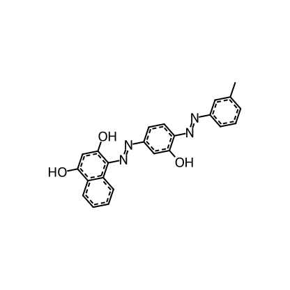 Cc1cccc(/N=N/c2ccc(/N=N/c3c(O)cc(O)c4ccccc34)cc2O)c1